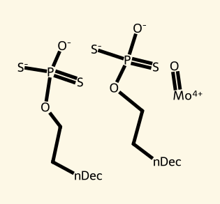 CCCCCCCCCCCCOP([O-])(=S)[S-].CCCCCCCCCCCCOP([O-])(=S)[S-].[O]=[Mo+4]